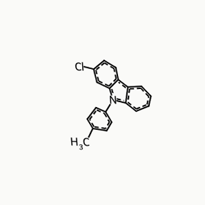 Cc1ccc(-n2c3ccccc3c3ccc(Cl)cc32)cc1